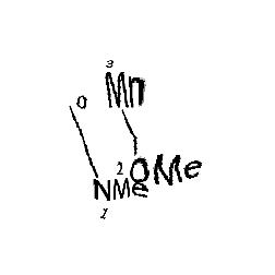 CNC.C[O][Mn]